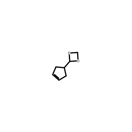 C1=CCC(C2OCO2)C1